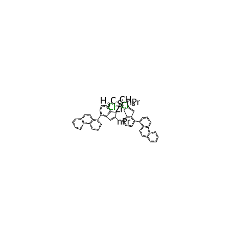 CCCC1=Cc2c(-c3cccc4c3ccc3ccccc34)cccc2[CH]1[Zr]([Cl])([Cl])([CH]1C(CCC)=Cc2c(-c3cccc4c3ccc3ccccc34)cccc21)=[Si](C)C